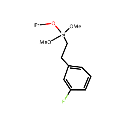 CO[Si](CCc1cccc(F)c1)(OC)OC(C)C